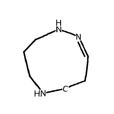 C1=N\NCCCNCC/1